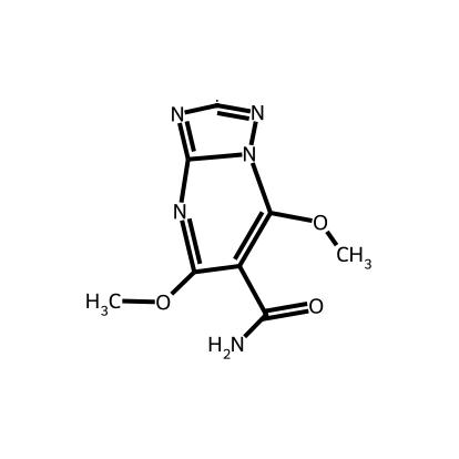 COc1nc2n[c]nn2c(OC)c1C(N)=O